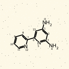 Nc1cc(N)nc(-c2ccccn2)c1